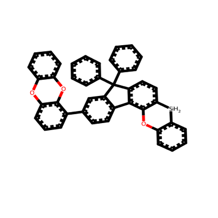 c1ccc(C2(c3ccccc3)c3cc(-c4cccc5c4Oc4ccccc4O5)ccc3-c3c2ccc2c3Oc3ccccc3[SiH2]2)cc1